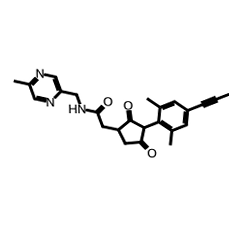 CC#Cc1cc(C)c(C2C(=O)CC(CC(=O)NCc3cnc(C)cn3)C2=O)c(C)c1